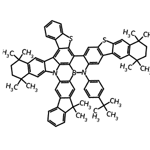 CC(C)(C)c1ccc(N2B3c4cc5c(cc4-n4c6cc7c(cc6c6c8c(sc9ccccc98)c(c3c64)-c3cc4sc6cc8c(cc6c4cc32)C(C)(C)CCC8(C)C)C(C)(C)CCC7(C)C)-c2ccccc2C5(C)C)cc1